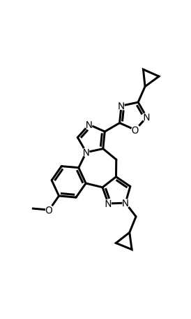 COc1ccc2c(c1)-c1nn(CC3CC3)cc1Cc1c(-c3nc(C4CC4)no3)ncn1-2